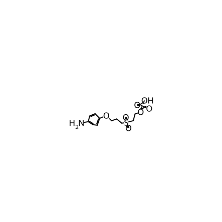 Nc1ccc(OCCCS(=O)(=O)CCOS(=O)(=O)O)cc1